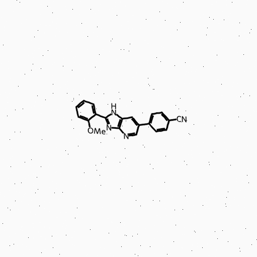 COc1ccccc1-c1nc2ncc(-c3ccc(C#N)cc3)cc2[nH]1